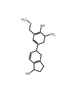 COCC1=C(O)C(C)CC(C2C=CC3=C(CCC3O)C2)=C1